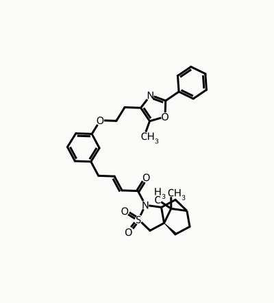 Cc1oc(-c2ccccc2)nc1CCOc1cccc(C/C=C/C(=O)N2C3CC4CC[C@]3(CS2(=O)=O)C4(C)C)c1